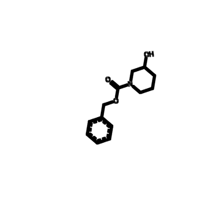 O=C(OCc1ccccc1)N1CCCC(O)C1